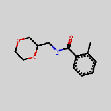 Cc1ccccc1C(=O)NCC1COCCO1